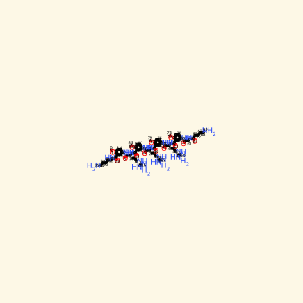 COc1ccc(NC(=O)[C@@H](CCCNC(=N)N)NC(=O)c2cc(NC(=O)[C@@H](CCCNC(=N)N)NC(=O)c3cc(NC(=O)[C@@H](CCCNC(=N)N)NC(=O)c4cc(NC(=O)[C@@H](C)NC(=O)CCCCN)ccc4OC)ccc3OC)ccc2OC)cc1C(=O)NCCCCCN